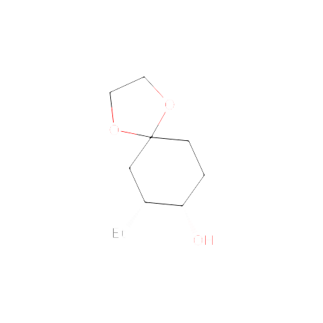 CC[C@@H]1CC2(CC[C@@H]1O)OCCO2